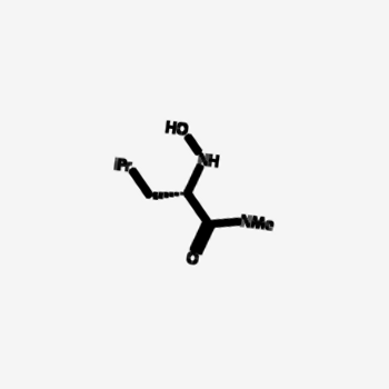 CNC(=O)[C@H](CC(C)C)NO